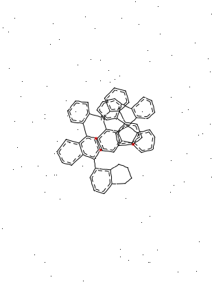 c1ccc(-c2ccccc2N(c2ccccc2-c2ccc(-c3cccc4c3CCCC4)c3ccccc23)c2cccc3c2C2(c4ccccc4-c4ccccc42)c2ccccc2-3)cc1